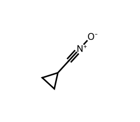 [O-][N+]#CC1CC1